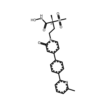 Cc1cccc(-c2ccc(-c3ccn(CC[C@](C)(C(=O)NO)S(C)(=O)=O)c(=O)c3)cc2)n1